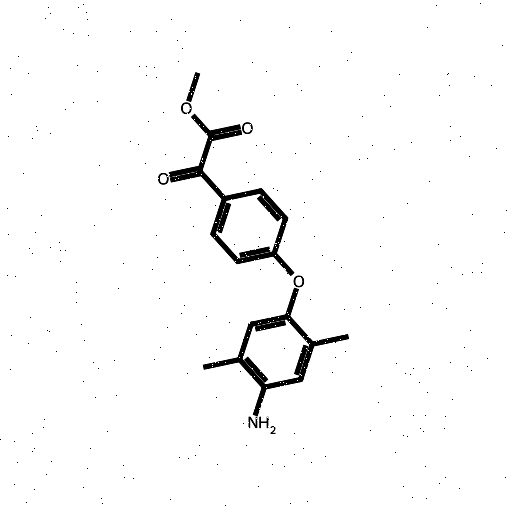 COC(=O)C(=O)c1ccc(Oc2cc(C)c(N)cc2C)cc1